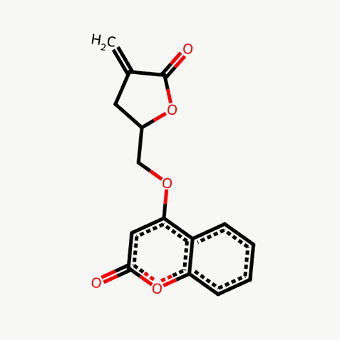 C=C1CC(COc2cc(=O)oc3ccccc23)OC1=O